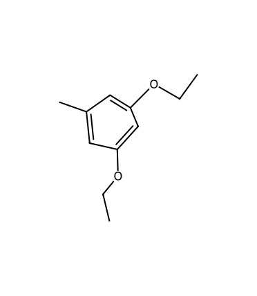 CCOc1cc(C)cc(OCC)c1